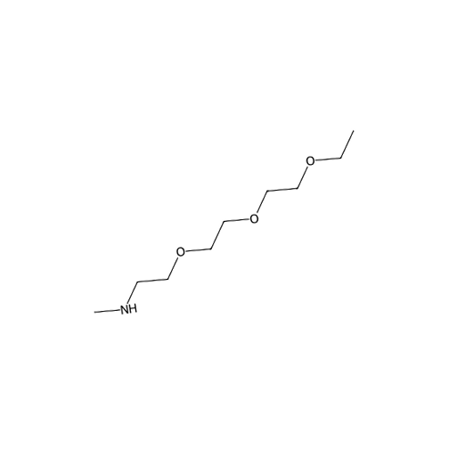 CCOCCOCCOCCNC